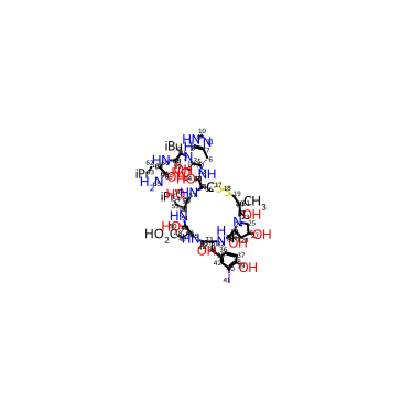 CCC(C)[C@H](N[C@@H](O)[C@H](Cc1c[nH]cn1)N[C@H](O)[C@@H]1CSSC[C@H](C)[C@@H](O)N2CC(O)C[C@H]2[C@H](O)N[C@@H](Cc2ccc(O)c(I)c2)[C@@H](O)N[C@@H](CC(=O)O)[C@@H](O)N[C@@H](CC(C)C)[C@H](O)N1)[C@@H](O)N[C@@H](CC(C)C)[C@@H](N)O